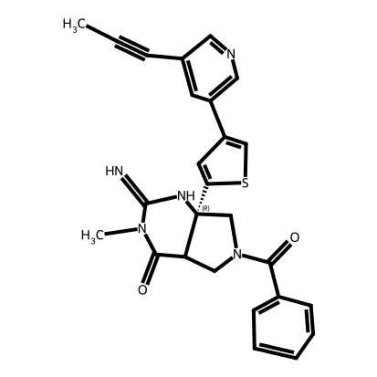 CC#Cc1cncc(-c2csc([C@]34CN(C(=O)c5ccccc5)CC3C(=O)N(C)C(=N)N4)c2)c1